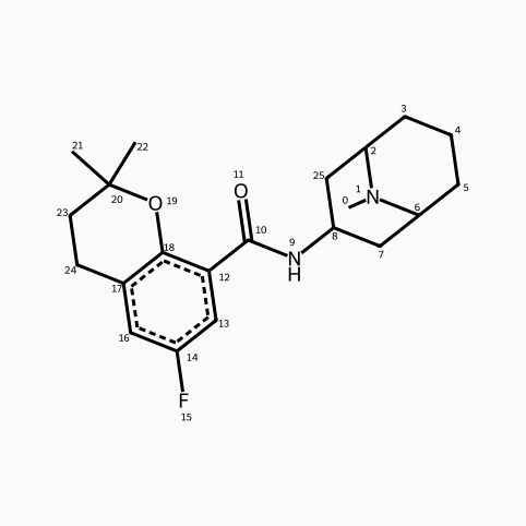 CN1C2CCCC1CC(NC(=O)c1cc(F)cc3c1OC(C)(C)CC3)C2